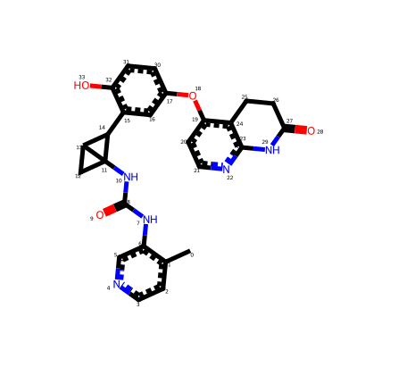 Cc1ccncc1NC(=O)NC12CC1C2c1cc(Oc2ccnc3c2CCC(=O)N3)ccc1O